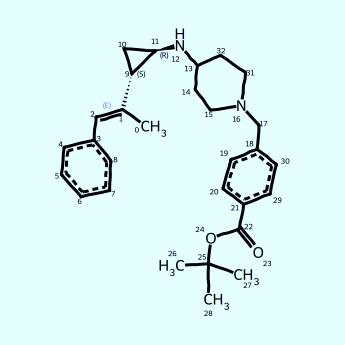 C/C(=C\c1ccccc1)[C@@H]1C[C@H]1NC1CCN(Cc2ccc(C(=O)OC(C)(C)C)cc2)CC1